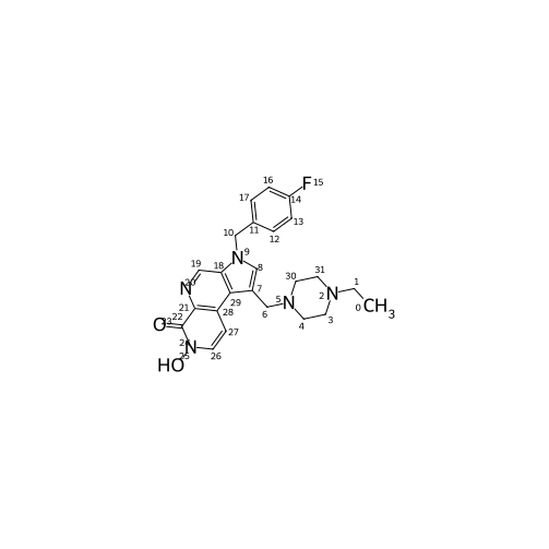 CCN1CCN(Cc2cn(Cc3ccc(F)cc3)c3cnc4c(=O)n(O)ccc4c23)CC1